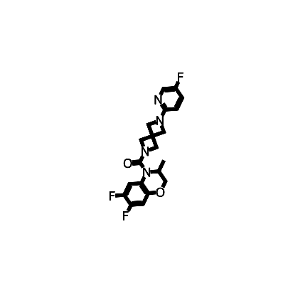 CC1COc2cc(F)c(F)cc2N1C(=O)N1CC2(C1)CN(c1ccc(F)cn1)C2